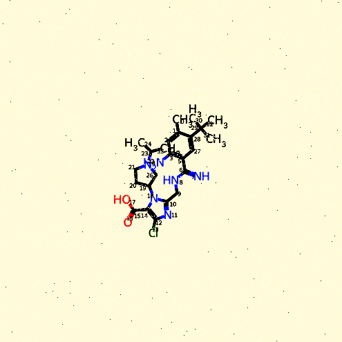 Cc1cc(N)c(C(=N)NCc2nc(Cl)c(C(=O)O)n2C2CCN(C(C)C)C2)cc1C(C)(C)C